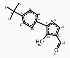 CC(C)(C)c1ccc(-c2scc(C=O)c2O)cc1